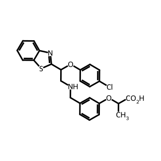 CC(Oc1cccc(CNCC(Oc2ccc(Cl)cc2)c2nc3ccccc3s2)c1)C(=O)O